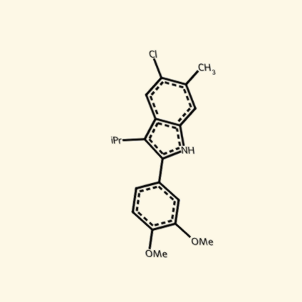 COc1ccc(-c2[nH]c3cc(C)c(Cl)cc3c2C(C)C)cc1OC